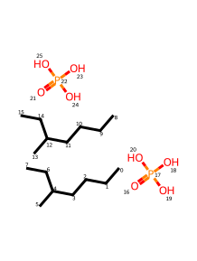 CCCCC(C)CC.CCCCC(C)CC.O=P(O)(O)O.O=P(O)(O)O